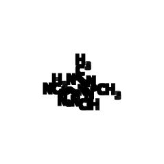 Cc1nc(C(C)N)n(-c2cc(C#N)ncn2)n1.Cl